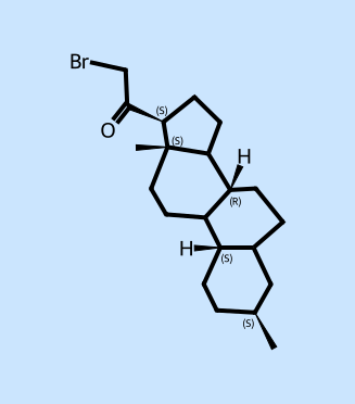 C[C@H]1CC[C@H]2C(CC[C@@H]3C2CC[C@@]2(C)C3CC[C@@H]2C(=O)CBr)C1